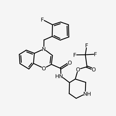 O=C(NC1CCNCC1OC(=O)C(F)(F)F)C1=CN(Cc2ccccc2F)c2ccccc2O1